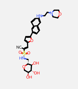 N#C/C(=C\c1ccc(-c2ccc3cc(NCCN4CCOCC4)ccc3c2)o1)S(=O)(=O)NC[C@H]1OC[C@H](O)[C@@H](O)[C@@H]1O